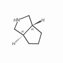 C1C[C@H]2CNC[C@@H]2C1